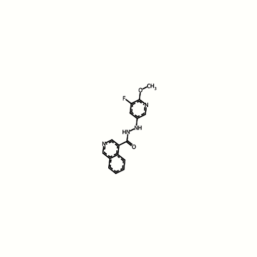 COc1ncc(NNC(=O)c2cncc3ccccc23)cc1F